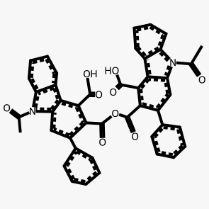 CC(=O)n1c2ccccc2c2c(C(=O)O)c(C(=O)OC(=O)c3c(-c4ccccc4)cc4c(c3C(=O)O)c3ccccc3n4C(C)=O)c(-c3ccccc3)cc21